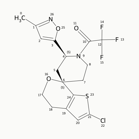 Cc1cc([C@@H]2C[C@]3(CCN2C(=O)C(F)(F)F)OCCc2cc(Cl)sc23)on1